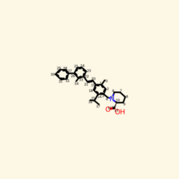 Cc1cc(CN2CCCC[C@H]2C(=O)O)c(C(C)C)cc1/C=C/c1cccc(-c2ccccc2)c1C